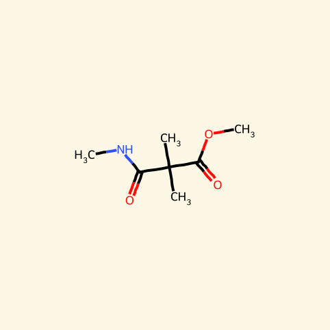 CNC(=O)C(C)(C)C(=O)OC